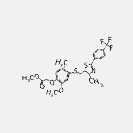 COC(=O)COc1cc(C)c(SCC2SC(c3ccc(C(F)(F)F)cc3)=NC2C)cc1OC